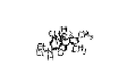 CCC(CC)Nc1cc(C)nc2c(-c3c(C)cc(C)cc3C)coc12